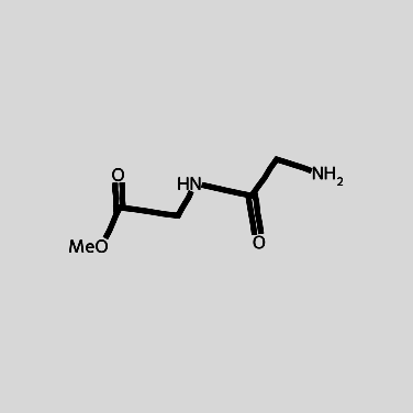 COC(=O)CNC(=O)CN